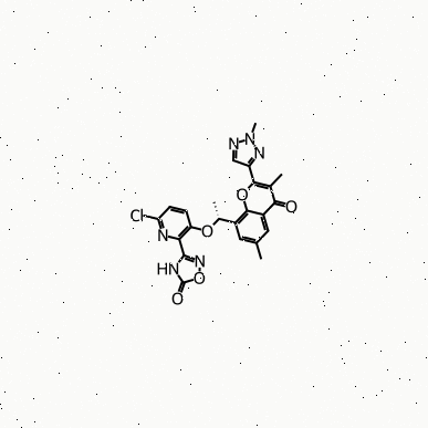 Cc1cc([C@@H](C)Oc2ccc(Cl)nc2-c2noc(=O)[nH]2)c2oc(-c3cnn(C)n3)c(C)c(=O)c2c1